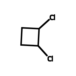 ClC1CCC1Cl